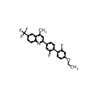 CCOc1ccc(-c2ccc(-c3cc(C)c4cc(C(F)(F)F)ccc4n3)cc2F)c(F)c1